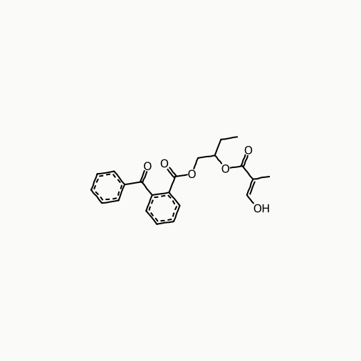 CCC(COC(=O)c1ccccc1C(=O)c1ccccc1)OC(=O)C(C)=CO